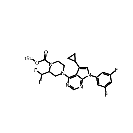 CC(C)(C)OC(=O)N1CCN(c2ncnc3c2c(C2CC2)cn3-c2cc(F)cc(F)c2)CC1C(F)F